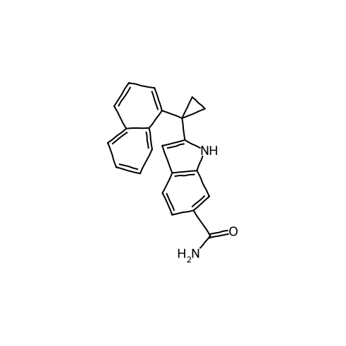 NC(=O)c1ccc2cc(C3(c4cccc5ccccc45)CC3)[nH]c2c1